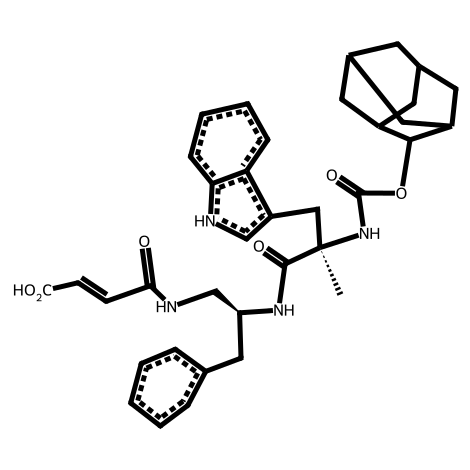 C[C@](Cc1c[nH]c2ccccc12)(NC(=O)OC1C2CC3CC(C2)CC1C3)C(=O)N[C@H](CNC(=O)C=CC(=O)O)Cc1ccccc1